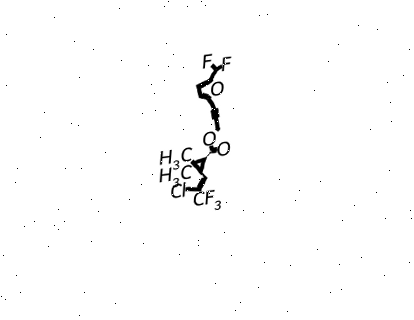 CC1(C)[C@H](/C=C(\Cl)C(F)(F)F)[C@H]1C(=O)OCC#Cc1ccc(C(F)F)o1